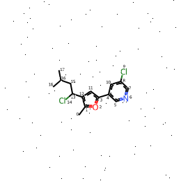 Cc1oc(-c2cncc(Cl)c2)cc1C(Cl)CC(C)C